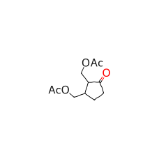 CC(=O)OCC1CCC(=O)C1COC(C)=O